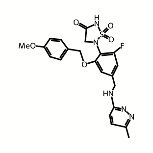 COc1ccc(COc2cc(CNc3ccc(C)nn3)cc(F)c2N2CC(=O)NS2(=O)=O)cc1